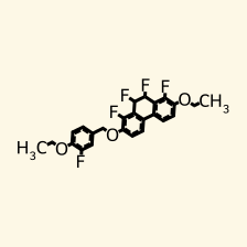 CCOc1ccc(COc2ccc3c(c2F)C(F)C(F)c2c-3ccc(OCC)c2F)cc1F